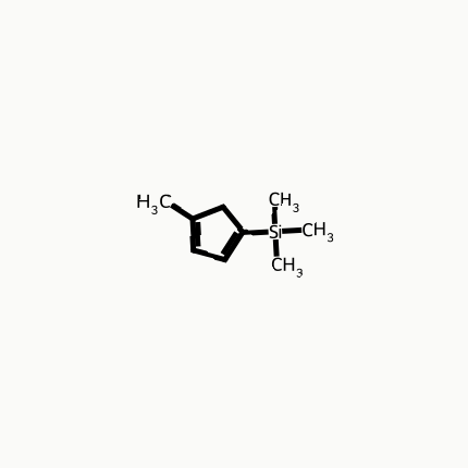 CC1=CC=C([Si](C)(C)C)C1